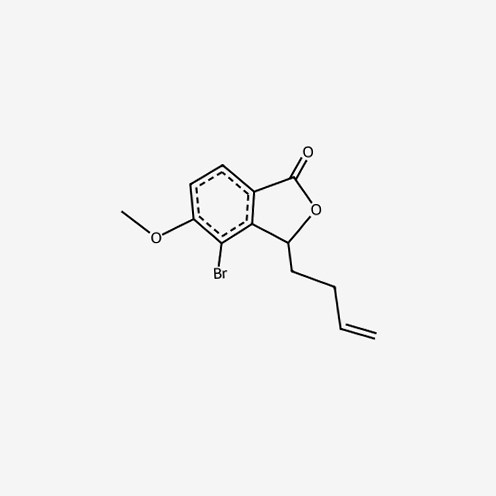 C=CCCC1OC(=O)c2ccc(OC)c(Br)c21